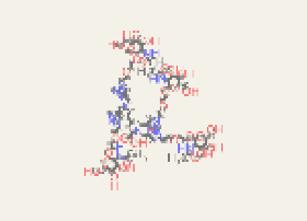 CC(=O)N[C@@H]1[C@H](OCCOCCn2cc(CN(CCCC[C@@H](C(=O)O)N(Cc3cn(CCOCCO[C@@H]4O[C@H](CO)[C@H](O)[C@H](O)[C@@H]4NC(C)=O)nn3)Cc3cn(CCOCCO[C@@H]4O[C@H](CO)[C@H](O)[C@H](O)[C@@H]4NC(C)=O)nn3)Cc3cn(CCOCCO[C@@H]4O[C@H](CO)[C@H](O)[C@H](O)[C@@H]4NC(C)=O)nn3)nn2)O[C@H](CO)[C@H](O)[C@@H]1O